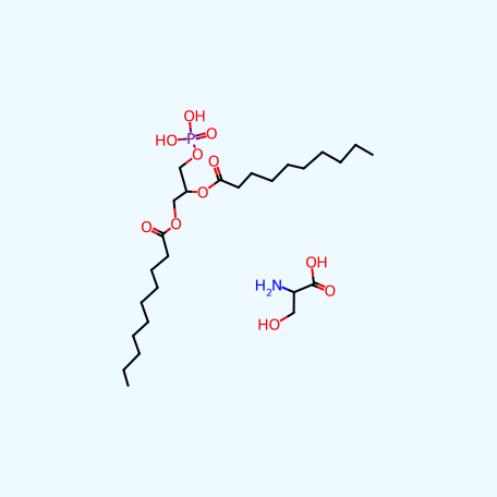 CCCCCCCCCC(=O)OCC(COP(=O)(O)O)OC(=O)CCCCCCCCC.NC(CO)C(=O)O